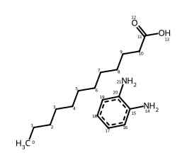 CCCCCCCCCCCC(=O)O.Nc1ccccc1N